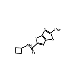 CSc1nc2sc(C(=O)NC3CCC3)cc2s1